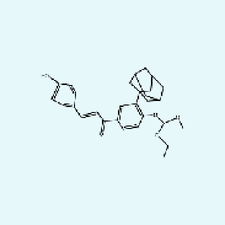 CCOC(OC)Oc1ccc(C(=O)/C=C/c2ccc(O)cc2)cc1C12CC3CC(CC(C3)C1)C2